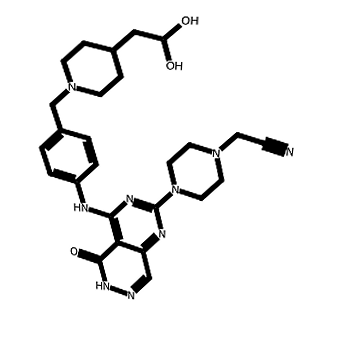 N#CCN1CCN(c2nc(Nc3ccc(CN4CCC(CC(O)O)CC4)cc3)c3c(=O)[nH]ncc3n2)CC1